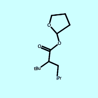 CC(C)CC(C(=O)OC1CCCO1)C(C)(C)C